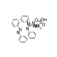 NN.O=S(=O)(O)O.c1ccc(N=Nc2ccccc2)cc1.c1ccc(N=Nc2ccccc2)cc1